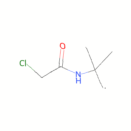 [CH2]C(C)(C)NC(=O)CCl